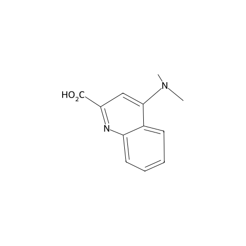 CN(C)c1cc(C(=O)O)nc2ccccc12